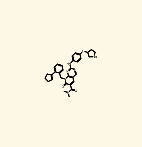 CN(C)C(=O)c1cc2cnc(Nc3ccc(OC4CCNC4)cc3)nc2n(Cc2ccccc2C2=CCCC2)c1=O